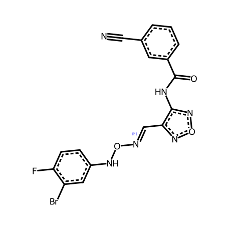 N#Cc1cccc(C(=O)Nc2nonc2/C=N/ONc2ccc(F)c(Br)c2)c1